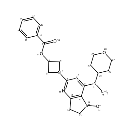 CN(c1nc(N2CC(OC(=O)c3ccccc3)C2)nc2c1[S+]([O-])CC2)C1CCOCC1